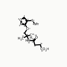 CCCSc1conc1OCC(C)(C)NC(=O)CCC(=O)O